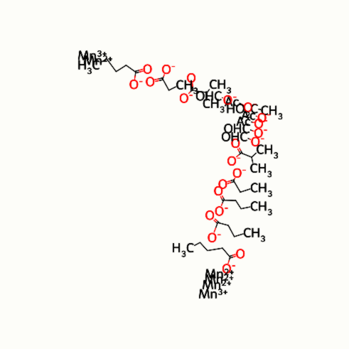 CC(=O)O.CC(=O)[O-].CC(=O)[O-].CC(=O)[O-].CC(C)C(=O)[O-].CC(C)C(=O)[O-].CCC(=O)[O-].CCC(=O)[O-].CCCC(=O)[O-].CCCC(=O)[O-].CCCCC(=O)[O-].CCCCC(=O)[O-].O=C[O-].O=C[O-].O=C[O-].[Mn+2].[Mn+2].[Mn+2].[Mn+2].[Mn+3].[Mn+3]